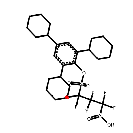 O=S(O)C(F)(F)C(F)(F)C(F)(F)S(=O)(=O)Oc1c(C2CCCCC2)cc(C2CCCCC2)cc1C1CCCCC1